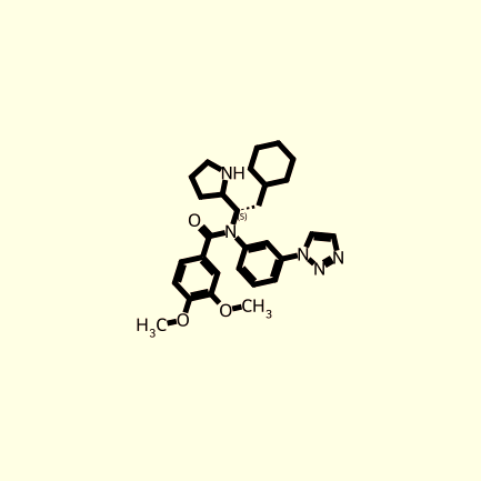 COc1ccc(C(=O)N(c2cccc(-n3ccnn3)c2)[C@@H](CC2CCCCC2)C2CCCN2)cc1OC